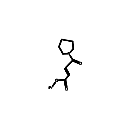 CC(C)OC(=O)C=CC(=O)N1CCCCC1